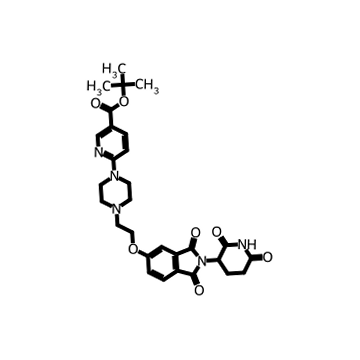 CC(C)(C)OC(=O)c1ccc(N2CCN(CCOc3ccc4c(c3)C(=O)N(C3CCC(=O)NC3=O)C4=O)CC2)nc1